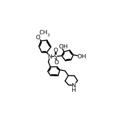 COc1ccc(N(Cc2cccc(CC3CCNCC3)c2)S(=O)(=O)c2ccc(O)cc2O)cc1